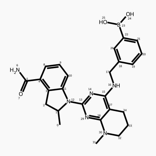 CC1Cc2c(C(N)=O)cccc2N1c1nc(NCc2cccc(B(O)O)c2)c2c(n1)N(C)CCC2